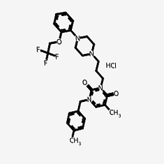 Cc1ccc(Cn2cc(C)c(=O)n(CCCN3CCN(c4ccccc4OCC(F)(F)F)CC3)c2=O)cc1.Cl